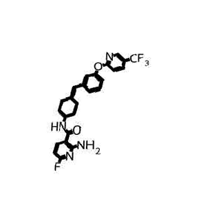 Nc1nc(F)ccc1C(=O)NC1CCC(=Cc2cccc(Oc3ccc(C(F)(F)F)cn3)c2)CC1